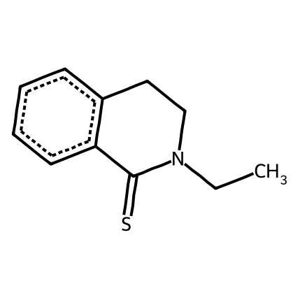 CCN1CCc2ccccc2C1=S